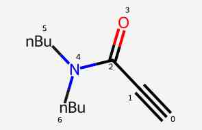 C#CC(=O)N(CCCC)CCCC